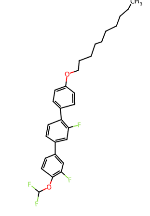 CCCCCCCCCCOc1ccc(-c2ccc(-c3ccc(OC(F)F)c(F)c3)cc2F)cc1